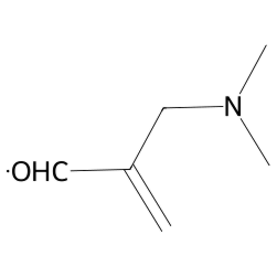 C=C([C]=O)CN(C)C